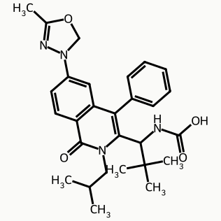 CC1=NN(c2ccc3c(=O)n(CC(C)C)c(C(NC(=O)O)C(C)(C)C)c(-c4ccccc4)c3c2)CO1